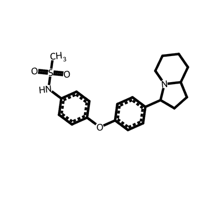 CS(=O)(=O)Nc1ccc(Oc2ccc(C3CCC4CCCCN43)cc2)cc1